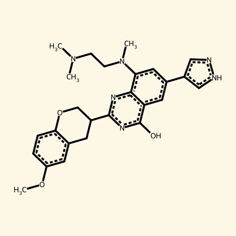 COc1ccc2c(c1)CC(c1nc(O)c3cc(-c4cn[nH]c4)cc(N(C)CCN(C)C)c3n1)CO2